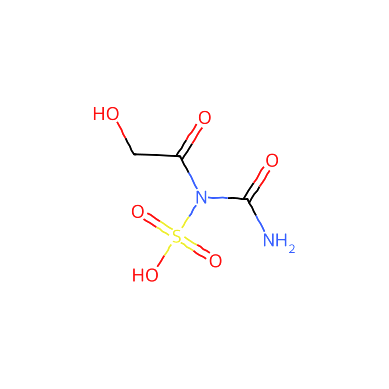 NC(=O)N(C(=O)CO)S(=O)(=O)O